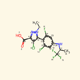 CCn1nc(C(=O)O)c(Cl)c1-c1c(F)cc(NC(C)C(F)(F)F)cc1F